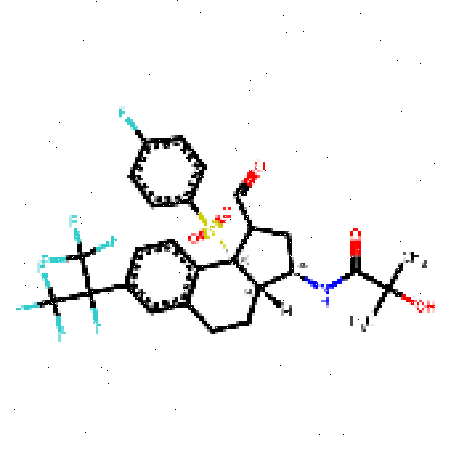 CC(C)(O)C(=O)N[C@@H]1CC(C=O)[C@]2(S(=O)(=O)c3ccc(F)cc3)c3ccc(C(F)(C(F)(F)F)C(F)(F)F)cc3CC[C@@H]12